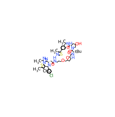 Cc1ncsc1-c1ccc([C@H](C)NC(=O)[C@@H]2C[C@@H](O)CN2C(=O)[C@@H](NC(=O)C2CCC(COCCCNC(=O)C[C@@H]3N=C(c4ccc(Cl)cc4)c4c(sc(C)c4C)-n4c(C)nnc43)O2)C(C)(C)C)cc1